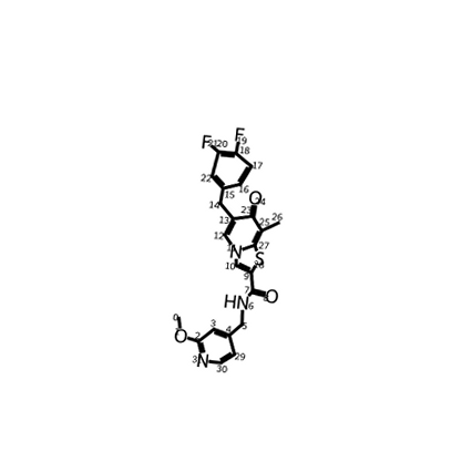 COc1cc(CNC(=O)c2cn3cc(Cc4ccc(F)c(F)c4)c(=O)c(C)c3s2)ccn1